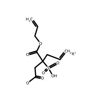 C=CCOC(=O)C(CC=C)(CC(=O)[O-])S(=O)(=O)O.[K+]